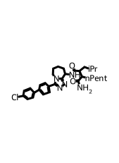 CCCCCC(C(N)=O)C(CC(C)C)C(=O)NC1CCCCn2c(-c3ccc(-c4ccc(Cl)cc4)cc3)nnc21